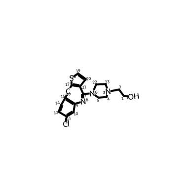 OCCN1CCN(C2=Nc3cc(Cl)ccc3Cc3sccc32)CC1